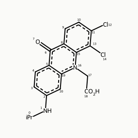 CC(C)Nc1ccc2c(=O)c3ccc(Cl)c(Cl)c3n(CC(=O)O)c2c1